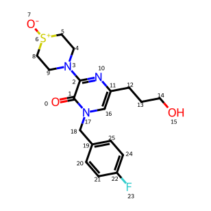 O=c1c(N2CC[S+]([O-])CC2)nc(CCCO)cn1Cc1ccc(F)cc1